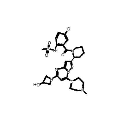 CN1CCN(c2cc(N3CC(O)C3)nc3cc([C@@H]4CCCCN4C(=O)c4cc(Cl)ccc4NS(C)(=O)=O)nn23)CC1